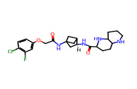 O=C(COc1ccc(Cl)c(F)c1)NC12CC(C1)[C@@H](NC(=O)C1CCC3NCCCC3N1)C2